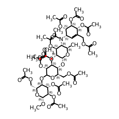 CO[C@@H]1O[C@H](COC(C)=O)[C@@H](OC2O[C@H](COC(C)=O)[C@@H](O[C@H]3O[C@H](C)[C@@H](N(C(C)=O)[C@H]4C=C(COC(C)=O)[C@@H](OC(C)=O)[C@H](OC(C)=O)[C@H]4OC(C)=O)[C@H](OC(C)=O)[C@H]3OC(C)=O)[C@H](OC(C)=O)[C@H]2OC(C)=O)[C@H](OC(C)=O)[C@H]1OC(C)=O